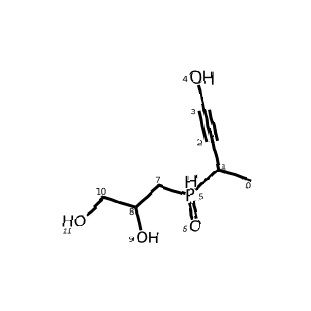 CC(C#CO)[PH](=O)CC(O)CO